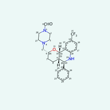 O=CN1CCN(C[C@H]2CC[C@@H]3[C@H](O2)c2cc(C(F)(F)F)ccc2N[C@H]3c2ccccc2)CC1